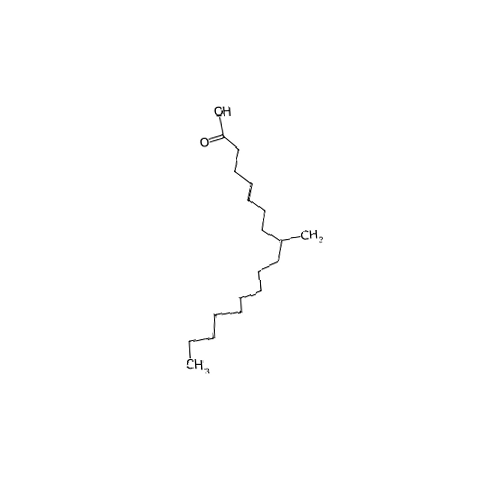 CCCCCCCCCC(C)CCCCCCC(=O)O